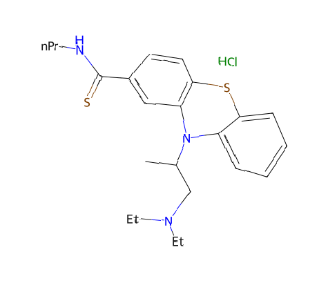 CCCNC(=S)c1ccc2c(c1)N(C(C)CN(CC)CC)c1ccccc1S2.Cl